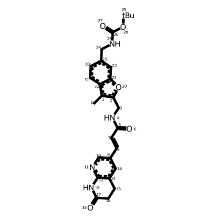 Cc1c(CNC(=O)/C=C/c2cnc3c(c2)CCC(=O)N3)oc2cc(CNC(=O)OC(C)(C)C)ccc12